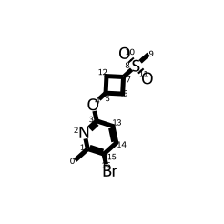 Cc1nc(OC2CC(S(C)(=O)=O)C2)ccc1Br